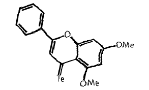 COc1cc(OC)c2c(=[Te])cc(-c3ccccc3)oc2c1